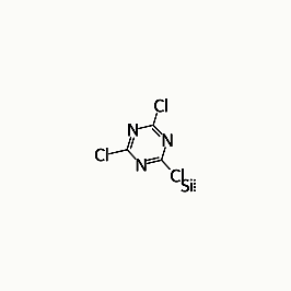 Clc1nc(Cl)nc(Cl)n1.[Si]